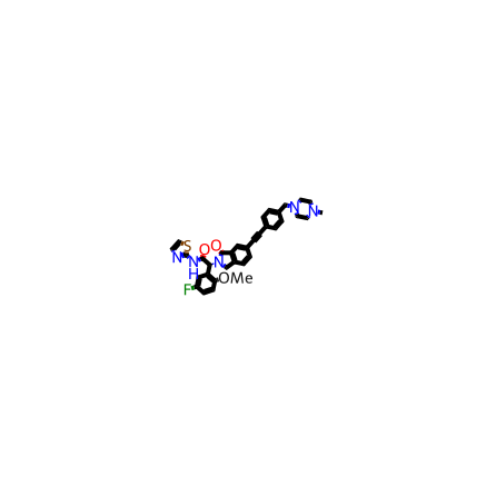 COc1ccc(F)cc1[C@H](C(=O)Nc1nccs1)N1Cc2ccc(C#Cc3ccc(CN4CCN(C)CC4)cc3)cc2C1=O